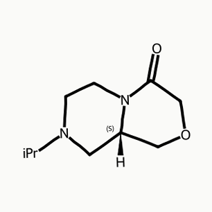 CC(C)N1CCN2C(=O)COC[C@@H]2C1